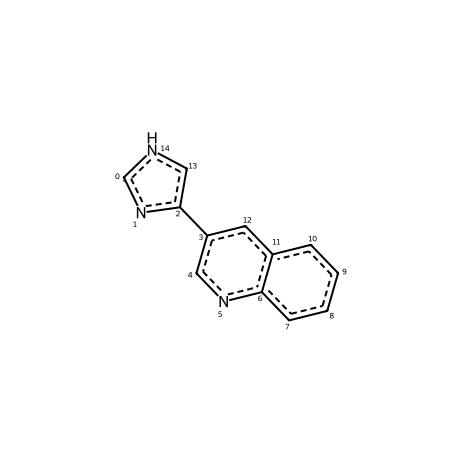 [c]1nc(-c2cnc3ccccc3c2)c[nH]1